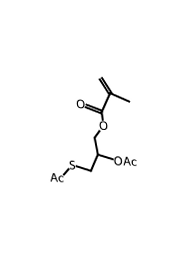 C=C(C)C(=O)OCC(CSC(C)=O)OC(C)=O